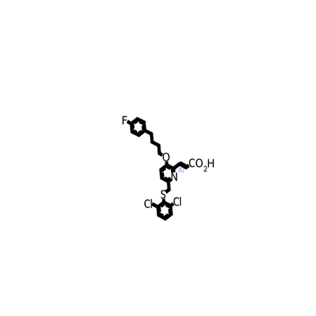 O=C(O)/C=C/c1nc(CSc2c(Cl)cccc2Cl)ccc1OCCCCc1ccc(F)cc1